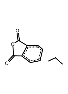 CCC.O=C1OC(=O)c2ccccc21